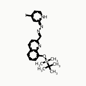 CC(C)(C)[Si](C)(C)Oc1cccc2ccc(/C=N/N=c3\cc(I)cc[nH]3)nc12